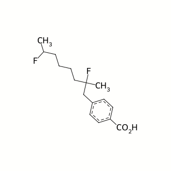 CC(F)CCCCC(C)(F)Cc1ccc(C(=O)O)cc1